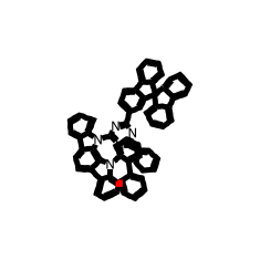 C1=CCCC(c2nc(-c3ccc4c(c3)C3(c5ccccc5-c5ccccc53)c3ccccc3-4)nc(-n3c4ccccc4c4ccc5c6ccccc6n(-c6ccccc6-c6ccccc6)c5c43)n2)=C1